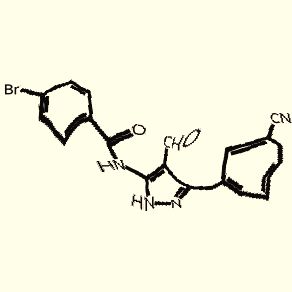 N#Cc1cccc(-c2n[nH]c(NC(=O)c3ccc(Br)cc3)c2C=O)c1